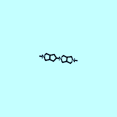 CN1CC2CC(N3CC4CN(C)CC4C3)CC2C1